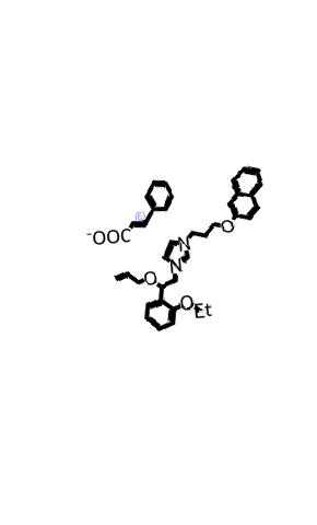 C=CCOC(C[n+]1ccn(CCCOc2ccc3ccccc3c2)c1)c1ccccc1OCC.O=C([O-])/C=C/c1ccccc1